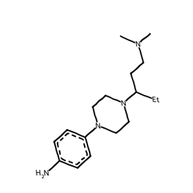 CCC(CCN(C)C)N1CCN(c2ccc(N)cc2)CC1